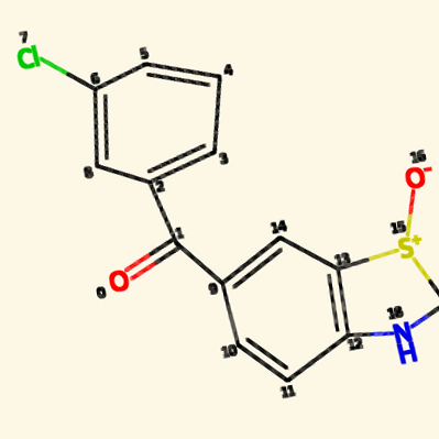 O=C(c1cccc(Cl)c1)c1ccc2c(c1)[S+]([O-])CN2